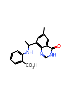 Cc1cc(C(C)Nc2ccccc2C(=O)O)c2nc[nH]c(=O)c2c1